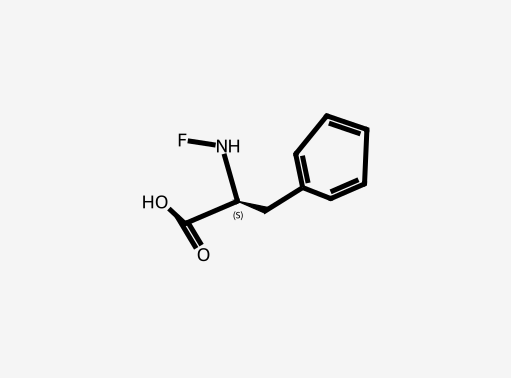 O=C(O)[C@H](Cc1ccccc1)NF